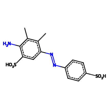 Cc1c(/N=N/c2ccc(S(=O)(=O)O)cc2)cc(S(=O)(=O)O)c(N)c1C